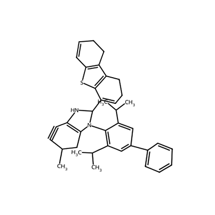 CC1C#CC2=C(C1)N(c1c(C(C)C)cc(-c3ccccc3)cc1C(C)C)C(C1=CCCc3c1sc1c3CCC=C1)N2